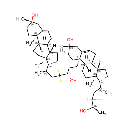 C[C@H](CC(F)(F)[C@@H](C)O)[C@H]1CC[C@H]2[C@@H]3CC=C4C[C@@](C)(O)CC[C@]4(CC[C@H](O)C(F)(F)C[C@@H](C)[C@H]4CC[C@H]5[C@@H]6CC=C7C[C@@](C)(O)CC[C@]7(C)[C@H]6CC[C@]45C)[C@H]3CC[C@]12C